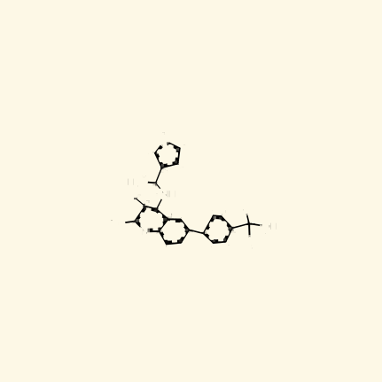 Cc1nc2ccc(-c3ccc(C(C)(C)O)cc3)cc2c(NC(C)c2ccsc2)c1Cl